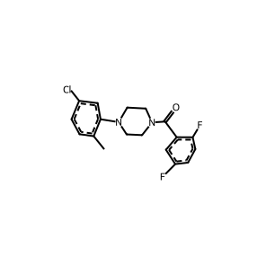 Cc1ccc(Cl)cc1N1CCN(C(=O)c2cc(F)ccc2F)CC1